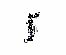 C/C(=C\S(=O)(=O)NC1CCN(c2ccc(-n3ccnc3CN3CCC(F)C3)cc2F)C1=O)c1ccc(Cl)s1